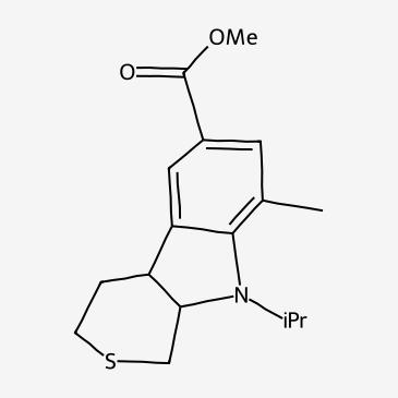 COC(=O)c1cc(C)c2c(c1)C1CCSCC1N2C(C)C